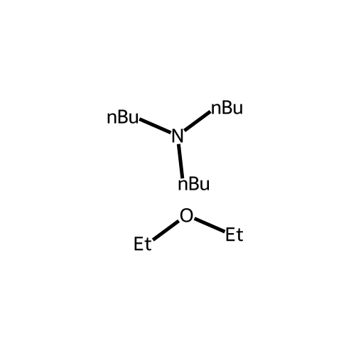 CCCCN(CCCC)CCCC.CCOCC